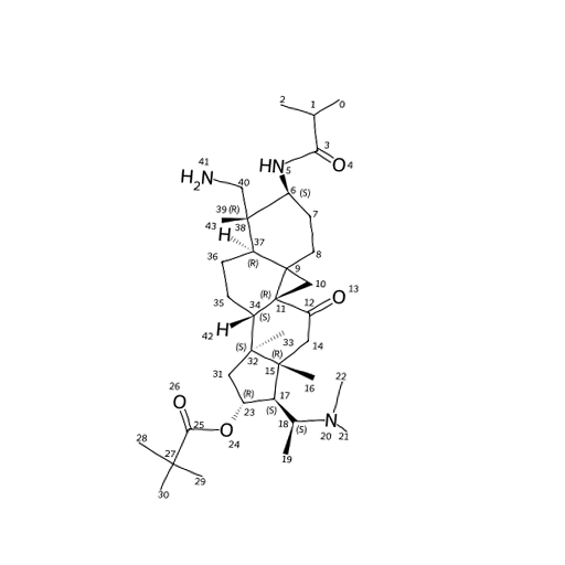 CC(C)C(=O)N[C@H]1CCC23C[C@]24C(=O)C[C@]2(C)[C@@H]([C@H](C)N(C)C)[C@H](OC(=O)C(C)(C)C)C[C@@]2(C)[C@@H]4CC[C@H]3[C@]1(C)CN